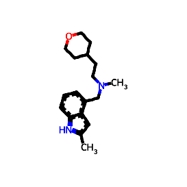 Cc1cc2c(CN(C)CCC3CCOCC3)cccc2[nH]1